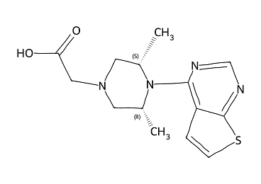 C[C@@H]1CN(CC(=O)O)C[C@H](C)N1c1ncnc2sccc12